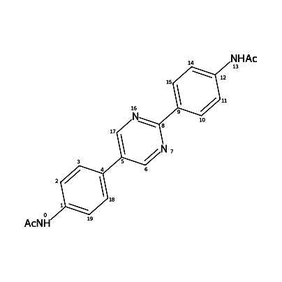 CC(=O)Nc1ccc(-c2cnc(-c3ccc(NC(C)=O)cc3)nc2)cc1